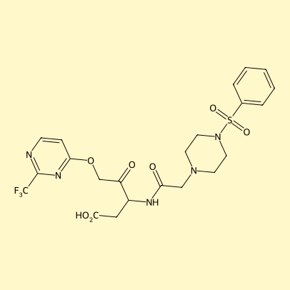 O=C(O)CC(NC(=O)CN1CCN(S(=O)(=O)c2ccccc2)CC1)C(=O)COc1ccnc(C(F)(F)F)n1